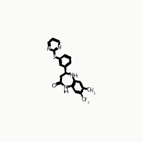 Cc1cc2c(cc1C(F)(F)F)NC(=O)CC(c1cccc(Sc3ncccn3)c1)N2